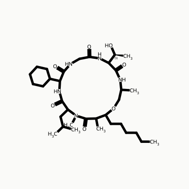 CCCCCCC1OCC(C)NC(=O)C([C@H](C)O)NC(=O)CNC(=O)C(C2CCCCC2)NC(=O)C(CC(C)C)N(C)C(=O)C1C